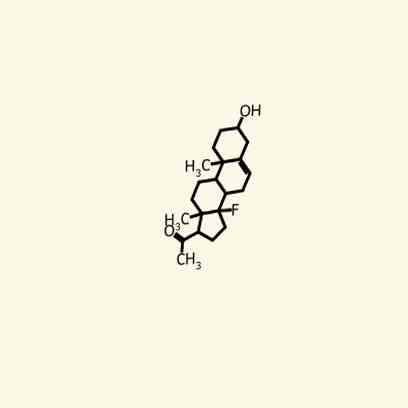 CC(=O)C1CCC2(F)C3CC=C4CC(O)CCC4(C)C3CCC12C